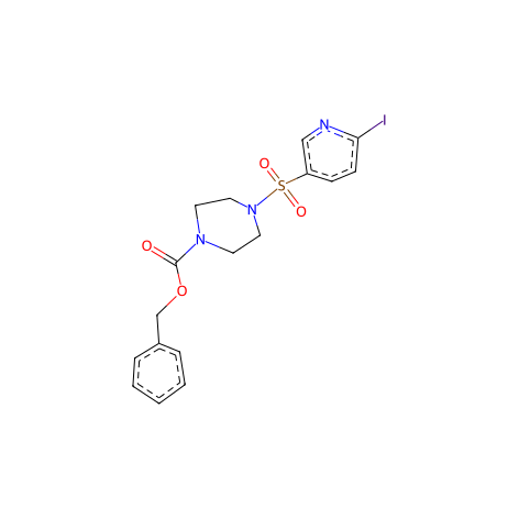 O=C(OCc1ccccc1)N1CCN(S(=O)(=O)c2ccc(I)nc2)CC1